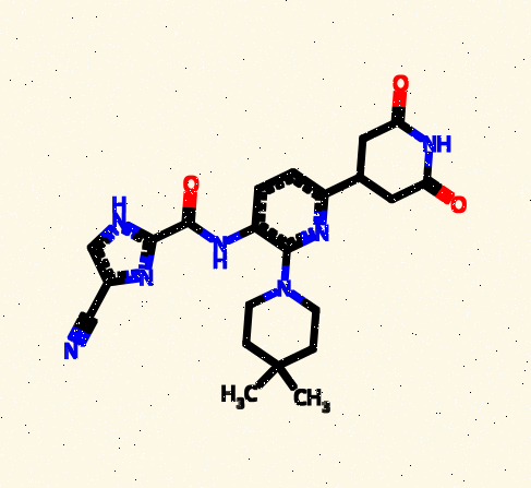 CC1(C)CCN(c2nc(C3CC(=O)NC(=O)C3)ccc2NC(=O)c2nc(C#N)c[nH]2)CC1